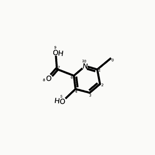 Cc1ccc(O)c(C(=O)O)n1